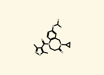 Cc1noc(C)c1C(=O)N1CCC(=O)N(C2CC2)Cc2cc(OC(F)F)ccc21